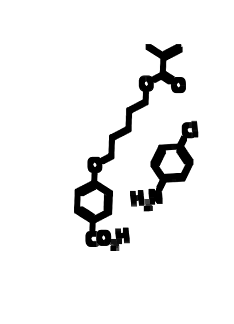 C=C(C)C(=O)OCCCCCOc1ccc(C(=O)O)cc1.Nc1ccc(Cl)cc1